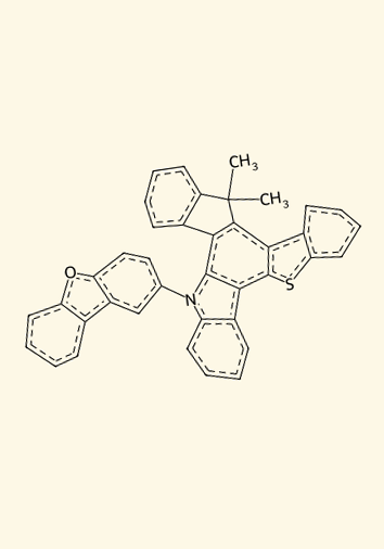 CC1(C)c2ccccc2-c2c1c1c3ccccc3sc1c1c3ccccc3n(-c3ccc4oc5ccccc5c4c3)c21